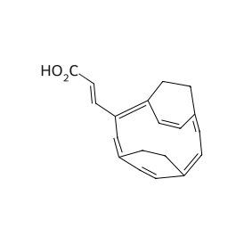 O=C(O)C=CC1=C2C=CC(=CC=C3C=CC(=C1)CC3)CC2